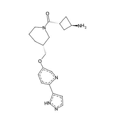 N[C@H]1C[C@H](C(=O)N2CCC[C@@H](COc3ccc(-c4ccn[nH]4)nc3)C2)C1